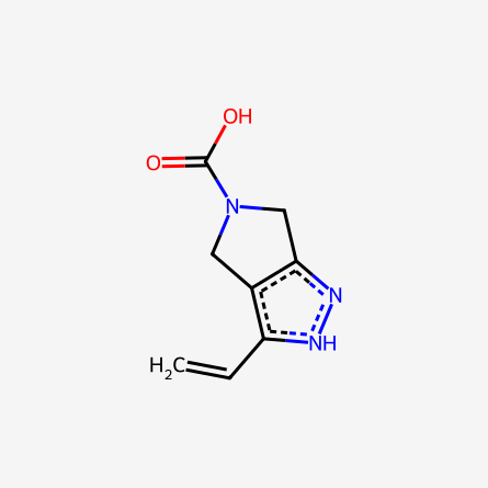 C=Cc1[nH]nc2c1CN(C(=O)O)C2